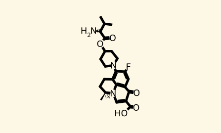 CC(C)[C@H](N)C(=O)OC1CCN(c2c(F)cc3c(=O)c(C(=O)O)cn4c3c2CC[C@@H]4C)CC1